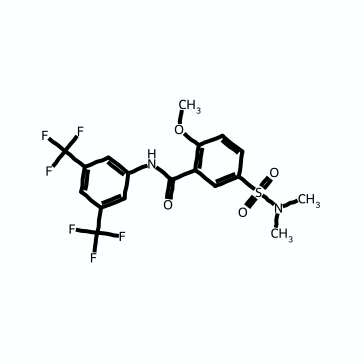 COc1ccc(S(=O)(=O)N(C)C)cc1C(=O)Nc1cc(C(F)(F)F)cc(C(F)(F)F)c1